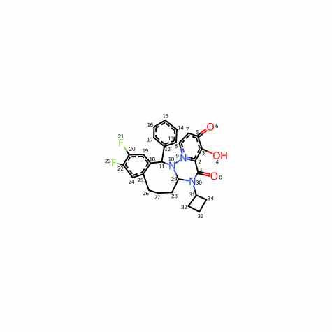 O=C1c2c(O)c(=O)ccn2N2C(c3ccccc3)c3cc(F)c(F)cc3CCCC2N1C1CCC1